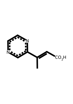 CC(=CC(=O)O)c1cnccn1